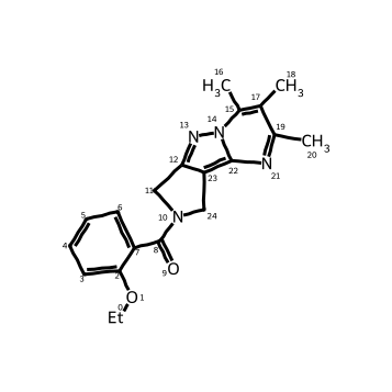 CCOc1ccccc1C(=O)N1Cc2nn3c(C)c(C)c(C)nc3c2C1